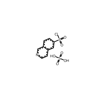 O=S(=O)(Cl)c1ccc2cnccc2c1.O=S(=O)(O)O